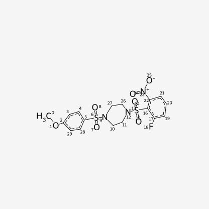 COc1ccc(S(=O)(=O)N2CCN(S(=O)(=O)c3c(F)cccc3[N+](=O)[O-])CC2)cc1